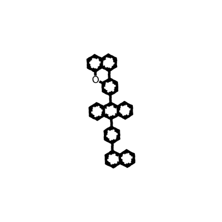 c1ccc2c(-c3ccc(-c4c5ccccc5c(-c5ccc6c(c5)Oc5cccc7cccc-6c57)c5ccccc45)cc3)cccc2c1